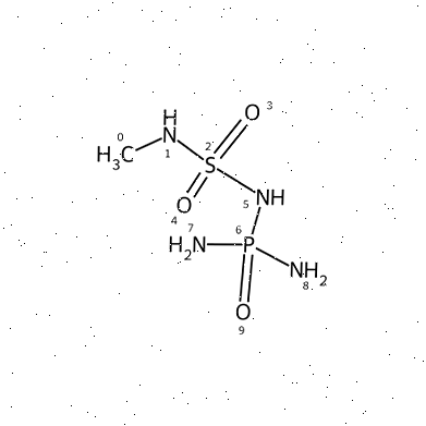 CNS(=O)(=O)NP(N)(N)=O